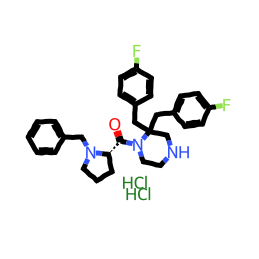 Cl.Cl.O=C([C@@H]1CCCN1Cc1ccccc1)N1CCNCC1(Cc1ccc(F)cc1)Cc1ccc(F)cc1